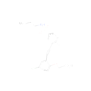 COCCNS(=O)(=O)c1ccc(C)c(C#Cc2cc(Cl)ccc2OCC(=O)O)c1